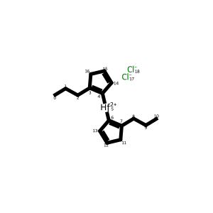 CCCC1=[C]([Hf+2][C]2=C(CCC)CC=C2)C=CC1.[Cl-].[Cl-]